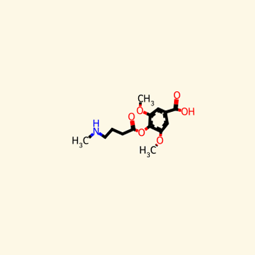 CNCCCC(=O)Oc1c(OC)cc(C(=O)O)cc1OC